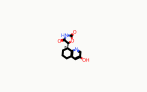 O=C1NC(=O)C([C@@H]2CCCc3cc(O)cnc32)O1